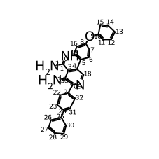 N=C(N)c1c(-c2ccc(Oc3ccccc3)cc2)cnc(-c2ccc(-c3ccccc3)cc2)c1N